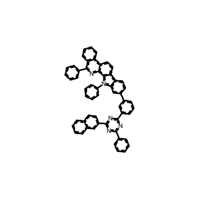 c1ccc(-c2nc(-c3cccc(-c4ccc5c6ccc7c8ccccc8c(-c8ccccc8)nc7c6n(-c6ccccc6)c5c4)c3)nc(-c3ccc4ccccc4c3)n2)cc1